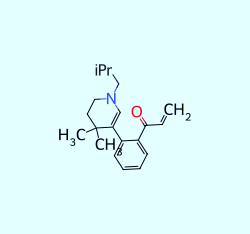 C=CC(=O)c1ccccc1C1=CN(CC(C)C)CCC1(C)C